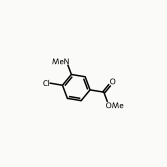 [CH]Nc1cc(C(=O)OC)ccc1Cl